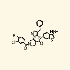 CNc1csc2cc(-n3c(=O)c4c(n5ncc(Cc6ccccc6)c35)CN(C(=O)c3ccc(Br)c(Cl)c3)CC4)ccc12